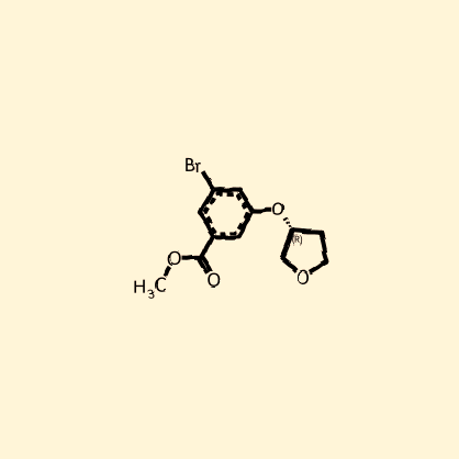 COC(=O)c1cc(Br)cc(O[C@@H]2CCOC2)c1